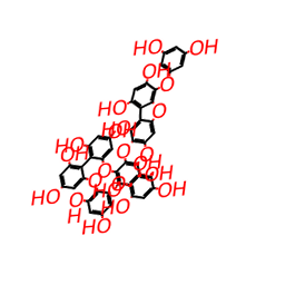 Oc1cc(O)cc(Oc2c(O)cc(O)c3c2oc2cc4c(c(O)c23)Oc2c(c(O)cc(O)c2Oc2cc(O)cc(O)c2-c2c(O)cc(O)cc2Oc2c(O)cc(O)cc2Oc2c(O)cc(O)cc2O)O4)c1